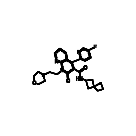 O=C(NC1CC2(CCC2)C1)c1c(-c2ccc(F)cn2)c2cccnc2n(CCN2CCOCC2)c1=O